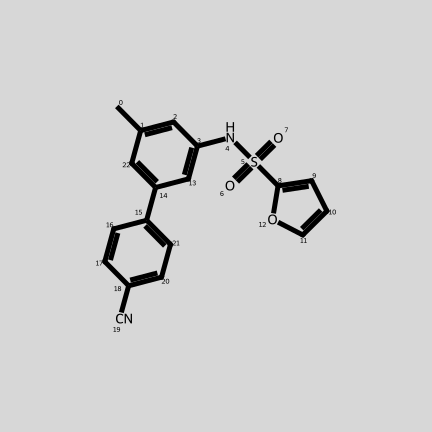 Cc1cc(NS(=O)(=O)c2ccco2)cc(-c2ccc(C#N)cc2)c1